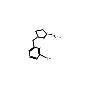 CC(=O)Nc1cccc(CN2CC[C@@H](NC(=O)O)C2)c1